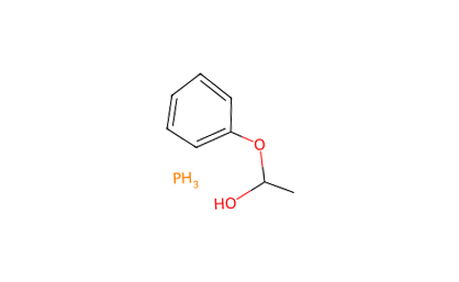 CC(O)Oc1ccccc1.P